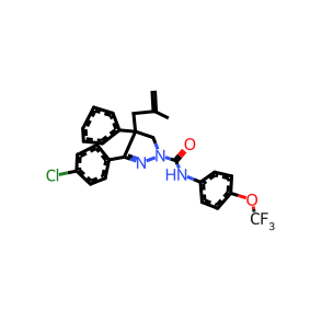 C=C(C)CC1(c2ccccc2)CN(C(=O)Nc2ccc(OC(F)(F)F)cc2)N=C1c1ccc(Cl)cc1